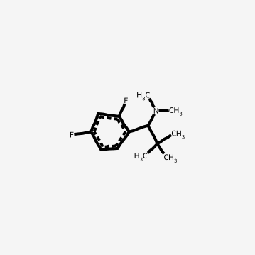 CN(C)C(c1ccc(F)cc1F)C(C)(C)C